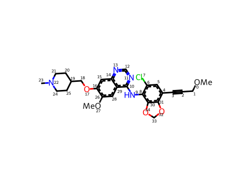 COCC#Cc1cc(Cl)c(Nc2ncnc3cc(OCC4CCN(C)CC4)c(OC)cc23)c2c1OCO2